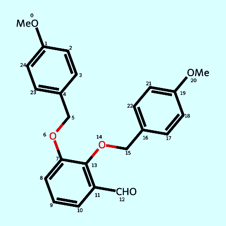 COc1ccc(COc2cccc(C=O)c2OCc2ccc(OC)cc2)cc1